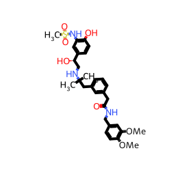 COc1ccc(CNC(=O)Cc2cccc(CC(C)(C)NC[C@H](O)c3ccc(O)c(NS(C)(=O)=O)c3)c2)cc1OC